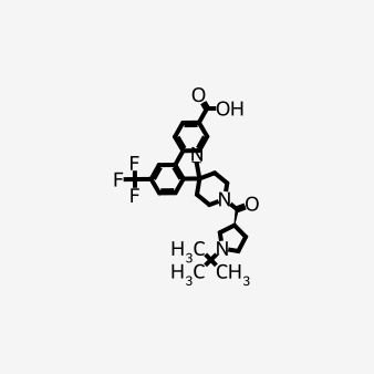 CC(C)(C)N1CC[C@H](C(=O)N2CCC(C#N)(c3ccc(C(F)(F)F)cc3-c3ccc(C(=O)O)cc3)CC2)C1